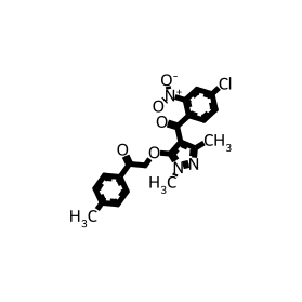 Cc1ccc(C(=O)COc2c(C(=O)c3ccc(Cl)cc3[N+](=O)[O-])c(C)nn2C)cc1